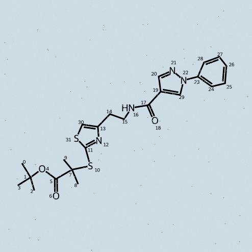 CC(C)(C)OC(=O)C(C)(C)Sc1nc(CCNC(=O)c2cnn(-c3ccccc3)c2)cs1